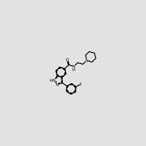 O=C(NCCN1CCCCC1)c1ccc2[nH]nc(-c3cccc(F)c3)c2c1